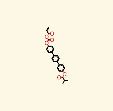 C=CC(=O)OC(=O)Oc1ccc(-c2ccc(-c3ccc(OC(=O)C(=C)C)cc3)cc2)cc1